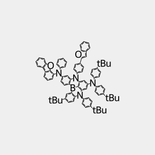 CC(C)(C)c1ccc(N(c2ccc(C(C)(C)C)cc2)c2cc3c4c(c2)N(c2ccc(-c5cc6ccccc6o5)cc2)c2cc(N(c5ccccc5)c5cccc6c5oc5ccccc56)ccc2B4c2cc(C(C)(C)C)ccc2N3c2ccc(C(C)(C)C)cc2)cc1